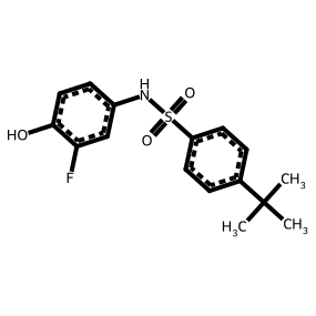 CC(C)(C)c1ccc(S(=O)(=O)Nc2ccc(O)c(F)c2)cc1